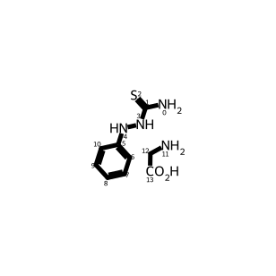 NC(=S)NNc1ccccc1.NCC(=O)O